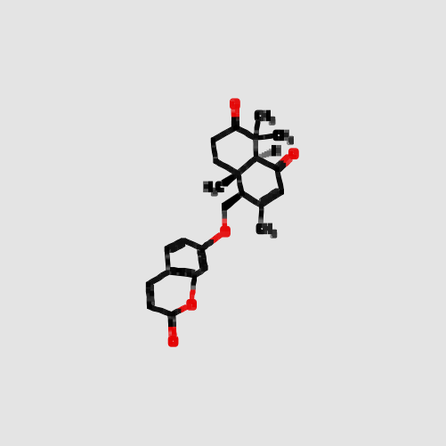 CC1=CC(=O)[C@@H]2C(C)(C)C(=O)CC[C@@]2(C)[C@@H]1COc1ccc2ccc(=O)oc2c1